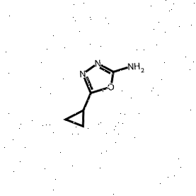 Nc1nnc(C2CC2)o1